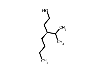 CCCC[C@@H](CCO)C(C)C